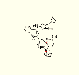 N#Cc1ccc(CN2C3CC2CN(c2ccc(-c4nc(Nc5cc(C6CC6)[nH]n5)c5ccccc5n4)cn2)C3)cn1